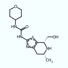 C[C@@H]1Cc2nc(NC(=O)NC3CCOCC3)sc2[C@H](CO)N1